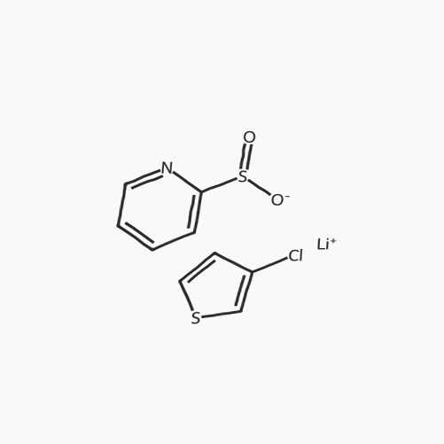 Clc1ccsc1.O=S([O-])c1ccccn1.[Li+]